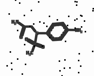 CS(=O)(=O)N(CC(N)=O)c1ccc(N)cc1